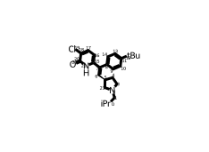 CC(C)CN1CC[C@H](/C=C(\c2ccc(C(C)(C)C)cc2)c2ccc(Cl)c(=O)[nH]2)C1